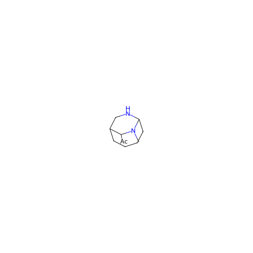 CC(=O)C1C2CCCCC(NC2)N1C